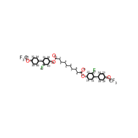 O=C(CCCCCCCCC(=O)Oc1ccc(-c2ccc(OC(F)(F)F)cc2)c(F)c1)Oc1ccc(-c2ccc(OC(F)(F)F)cc2)c(F)c1